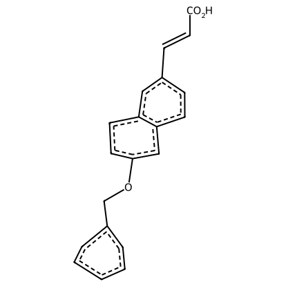 O=C(O)/C=C/c1ccc2cc(OCc3ccccc3)ccc2c1